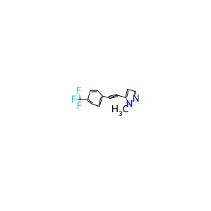 Cn1nccc1C#Cc1ccc(C(F)(F)F)cc1